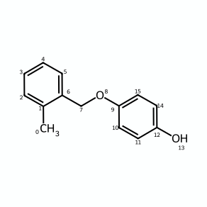 Cc1ccccc1COc1ccc(O)cc1